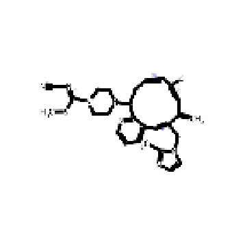 C=C1/C=C(Cl)\C=C/CC(N2CCN(/C(=N/C#N)SC)CC2)c2ncccc2/C=C\1Cn1ccnc1C